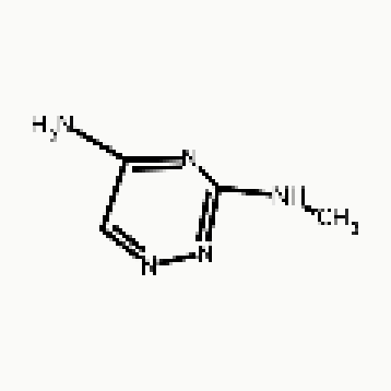 CNc1nncc(N)n1